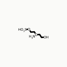 N.O=S(=O)(O)OCCOCCO